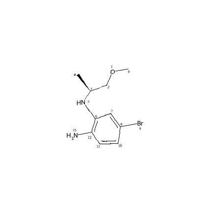 COC[C@H](C)Nc1cc(Br)ccc1N